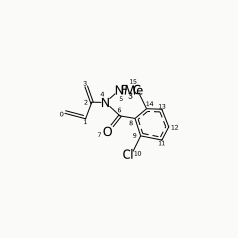 C=CC(=C)N(NC)C(=O)c1c(Cl)cccc1C(F)(F)F